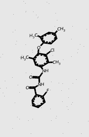 Cc1ccc(Oc2c(C)cc(NC(=O)NC(=O)c3ccccc3F)c(C)c2Cl)c(C)c1